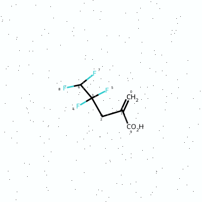 C=C(CC(F)(F)C(F)F)C(=O)O